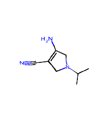 CC(C)N1CC(N)=C(C#N)C1